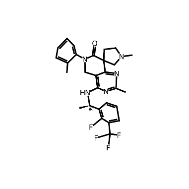 Cc1nc(N[C@H](C)c2cccc(C(F)(F)F)c2F)c2c(n1)C1(CCN(C)C1)C(=O)N(c1ccccc1C)C2